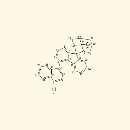 Clc1ccc(-c2cccc3c2-c2ccccc2C32C3CC4CC5CC2C53C4)c2ccccc12